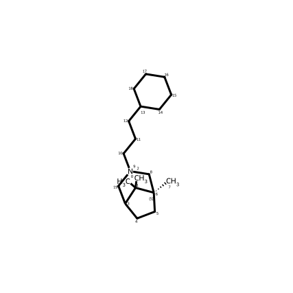 CC1(C)C2CC[C@]1(C)CN(CCCC1CCCCC1)C2